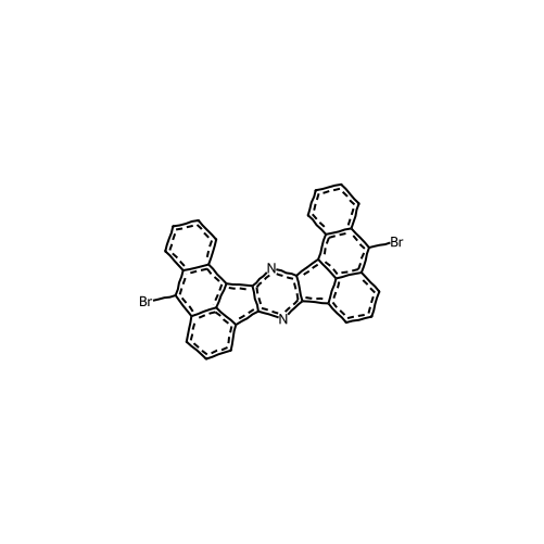 Brc1c2ccccc2c2c3nc4c(nc3c3cccc1c32)c1cccc2c(Br)c3ccccc3c4c21